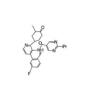 CC1CC(c2nccc(-c3cc(F)ccc3F)c2NC(=O)c2cnc(C(C)C)nc2)CCC1=O